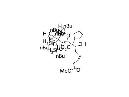 CCCC[SiH2]O/C(=C(/O[SiH2]CCCC)[C@@](C(=O)O)(C1CCCC1)[C@H](O)C/C=C\CC(=O)OC)C(O[SiH2]CCCC)(O[SiH2]CCCC)C(C)(C)CCCC